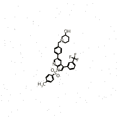 Cc1ccc(S(=O)(=O)n2cc(-c3cccc(C(F)(F)F)c3)c3cc(-c4ccc(CN5CCCC(O)C5)cc4)cnc32)cc1